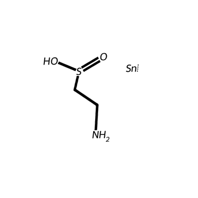 NCCS(=O)O.[Sn]